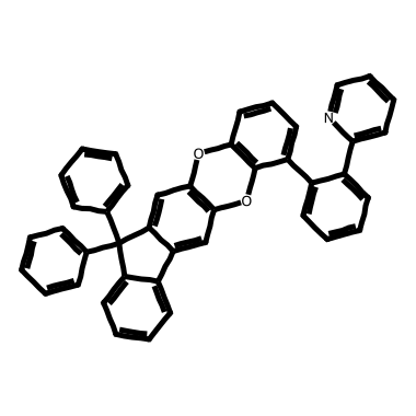 c1ccc(C2(c3ccccc3)c3ccccc3-c3cc4c(cc32)Oc2cccc(-c3ccccc3-c3ccccn3)c2O4)cc1